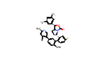 COc1ccc(-c2cnc(C(=O)O)cc2C)cc1-c1ccc(F)cc1[C@@H]1CCC2[C@@H](c3cc(C(F)(F)F)cc(C(F)(F)F)c3)OC(=O)N21